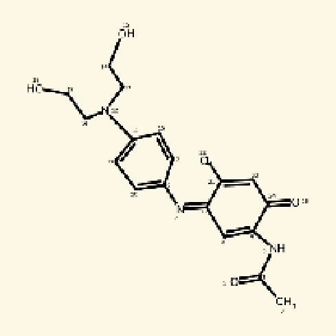 CC(=O)NC1=CC(=Nc2ccc(N(CCO)CCO)cc2)C(Cl)=CC1=O